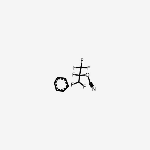 N#COC(F)(C(F)F)C(F)(F)F.c1ccccc1